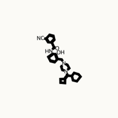 N#Cc1cccc(C(=O)Nc2cccc(CN3CCN(C(=C4CCC4)C4CCCCC4)CC3)c2O)c1